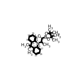 CC([C@H](C)B1OC(C)(C)C(C)(C)O1)N1c2ccccc2C(C)(C)c2ccccc21